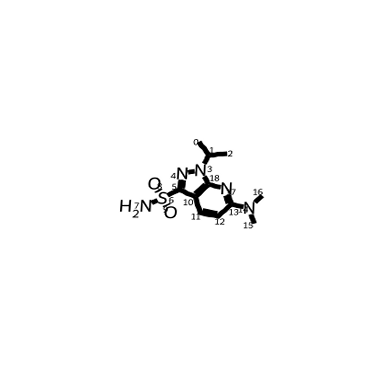 CC(C)n1nc(S(N)(=O)=O)c2ccc(N(C)C)nc21